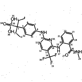 CCC(CC)(c1ccc(Nc2ncc(C(F)(F)F)c(Nc3ccccc3C(=O)NC)n2)cc1)P(=O)(O)O